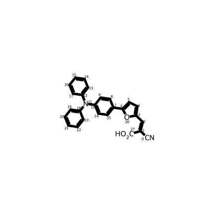 N#CC(=Cc1ccc(-c2ccc(N(c3ccccc3)c3ccccc3)cc2)o1)C(=O)O